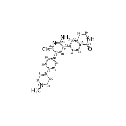 CN1CC=C(c2ccc(-c3cc(-c4ccc5c(c4)CCNC5=O)c(N)nc3Cl)cc2)CC1